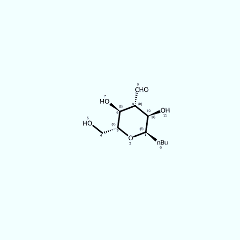 CCCC[C@H]1O[C@H](CO)[C@@H](O)[C@H](C=O)[C@H]1O